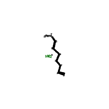 C=CCCCCCCCCCC.Cl